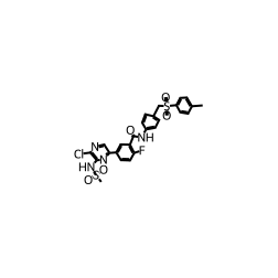 Cc1ccc(S(=O)(=O)Cc2ccc(NC(=O)c3cc(-c4cnc(Cl)c(NS(C)(=O)=O)n4)ccc3F)cc2)cc1